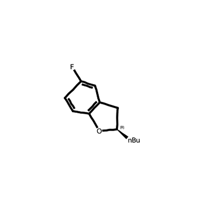 CCCC[C@@H]1Cc2cc(F)ccc2O1